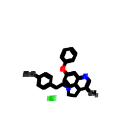 COc1ccc(CCN2CCC3C(C)=CN=C4C=C(Oc5ccccc5)C=CC432)cc1.Cl